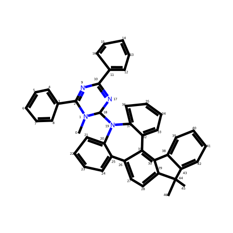 CN1C(c2ccccc2)=NC(c2ccccc2)=NC1N1c2ccccc2-c2ccc3c(c2-c2ccccc21)-c1ccccc1C3(C)C